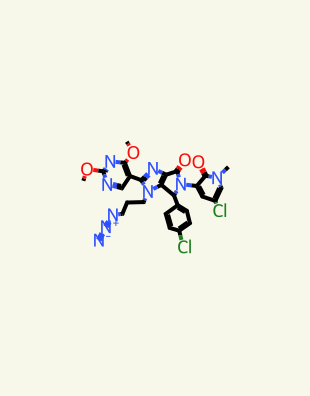 COc1ncc(-c2nc3c(n2CCCN=[N+]=[N-])C(c2ccc(Cl)cc2)N(c2cc(Cl)cn(C)c2=O)C3=O)c(OC)n1